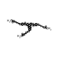 C=CC(=O)OCCCCCCOc1ccc(C(=O)Oc2ccc3c4ccc(OC(=O)c5ccc(OCCCCCCOC(=O)C=C)cc5)cc4c4nc5cc(OCCOCCOC(=O)C=C)ccc5nc4c3c2)cc1